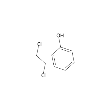 ClCCCl.Oc1ccccc1